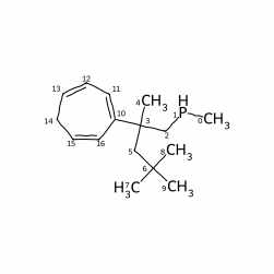 CPCC(C)(CC(C)(C)C)C1=CC=CCC=C1